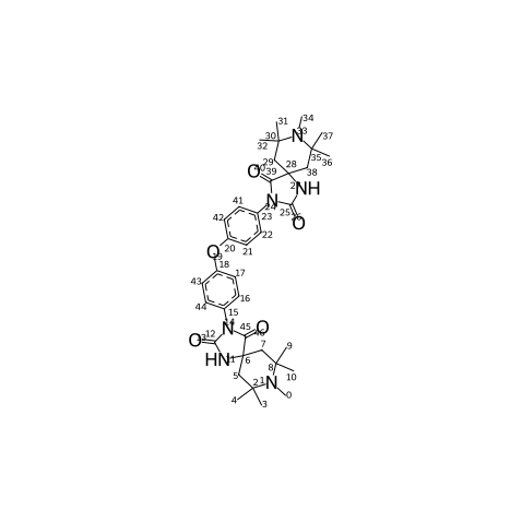 CN1C(C)(C)CC2(CC1(C)C)NC(=O)N(c1ccc(Oc3ccc(N4C(=O)NC5(CC(C)(C)N(C)C(C)(C)C5)C4=O)cc3)cc1)C2=O